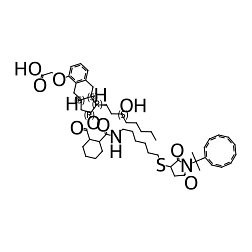 CCCCC[C@H](O)CC[C@@H]1[C@H]2Cc3cccc(OCC(=O)O)c3C[C@H]2C[C@H]1OC(=O)C1CCCCC1C(=O)NCCCCCCSC1CC(=O)N(C(C)(C)c2ccccccccc2)C1=O